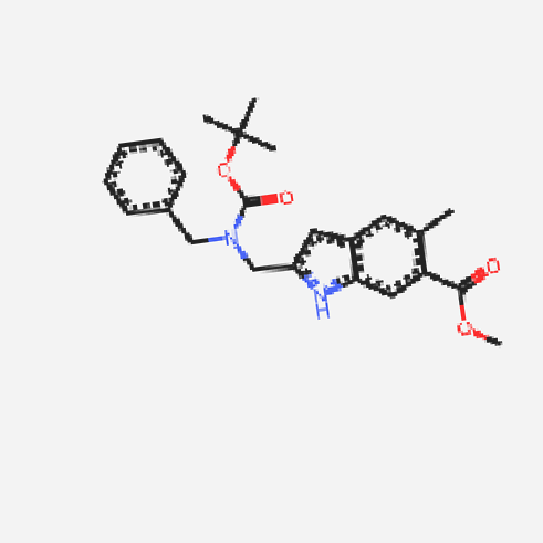 COC(=O)c1cc2[nH]c(CN(Cc3ccccc3)C(=O)OC(C)(C)C)cc2cc1C